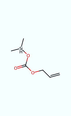 C=CCOC(=O)O[SiH](C)C